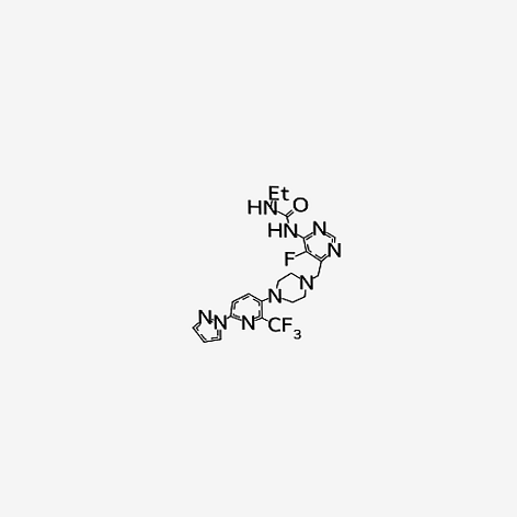 CCNC(=O)Nc1ncnc(CN2CCN(c3ccc(-n4cccn4)nc3C(F)(F)F)CC2)c1F